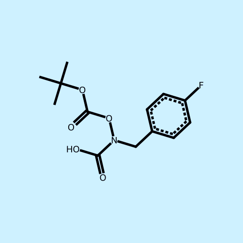 CC(C)(C)OC(=O)ON(Cc1ccc(F)cc1)C(=O)O